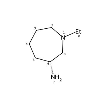 CCN1CCCC[C@@H](N)C1